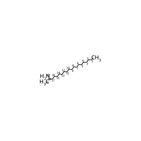 CCCCCCCCCCCCCCCCCCC(C)N